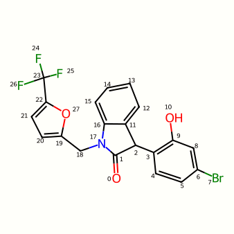 O=C1C(c2ccc(Br)cc2O)c2ccccc2N1Cc1ccc(C(F)(F)F)o1